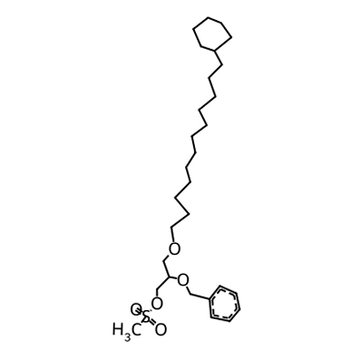 CS(=O)(=O)OCC(COCCCCCCCCCCCCC1CCCCC1)OCc1ccccc1